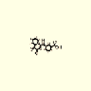 O=C1C=C(Nc2cccc(C(=O)O)c2)c2ccccc2C1=O